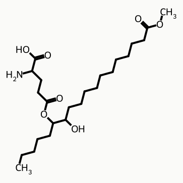 CCCCCC(OC(=O)CCC(N)C(=O)O)C(O)CCCCCCCCCCC(=O)OC